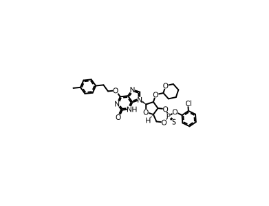 Cc1ccc(CCOc2nc(=O)[nH]c3c2ncn3[C@@H]2O[C@@H]3COP(=S)(Oc4ccccc4Cl)OC3C2OC2CCCCO2)cc1